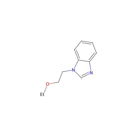 CCOCCn1[c]nc2ccccc21